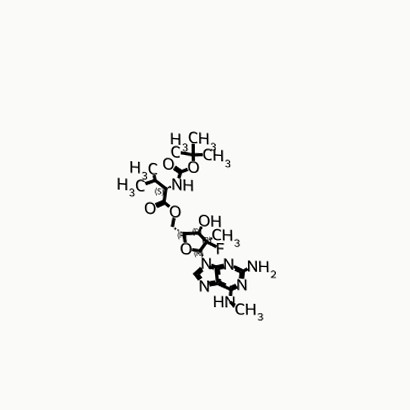 CNc1nc(N)nc2c1ncn2[C@@H]1O[C@H](COC(=O)[C@@H](NC(=O)OC(C)(C)C)C(C)C)[C@@H](O)[C@@]1(C)F